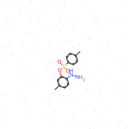 Cc1ccc(S(=O)(=O)Oc2cc(C)ccc2NN)cc1